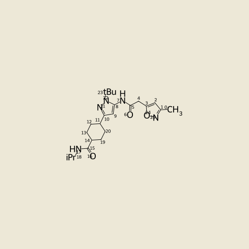 Cc1cc(CC(=O)Nc2cc(C3CCC(C(=O)NC(C)C)CC3)nn2C(C)(C)C)on1